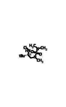 CN(C)S(=O)(=O)N(C)C[C@@H](NCl)C(C)(C)C